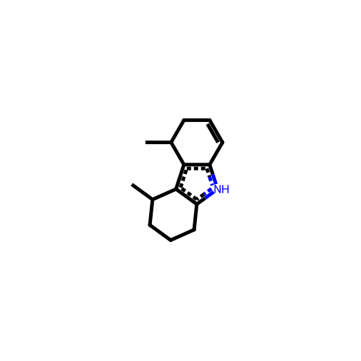 CC1CC=Cc2[nH]c3c(c21)C(C)CCC3